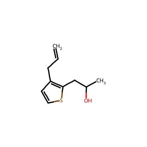 C=CCc1ccsc1CC(C)O